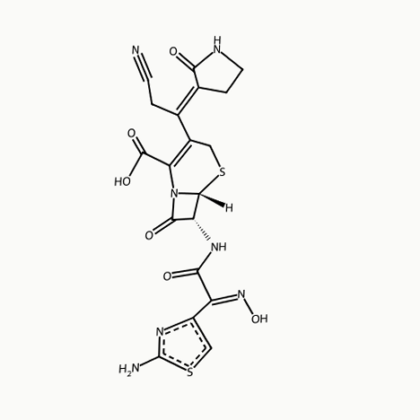 N#CCC(=C1CCNC1=O)C1=C(C(=O)O)N2C(=O)[C@@H](NC(=O)C(=NO)c3csc(N)n3)[C@H]2SC1